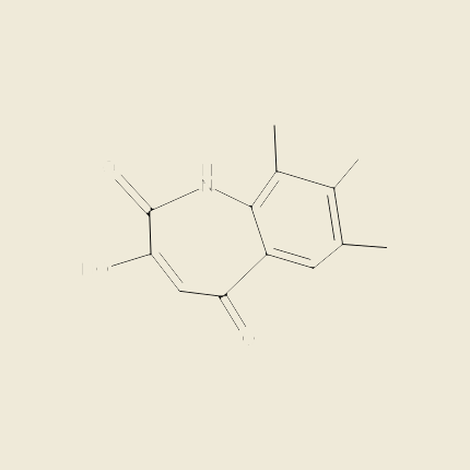 Cc1cc2c(=O)cc(O)c(=O)[nH]c2c(C)c1C